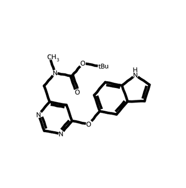 CN(Cc1cc(Oc2ccc3[nH]ccc3c2)ncn1)C(=O)OC(C)(C)C